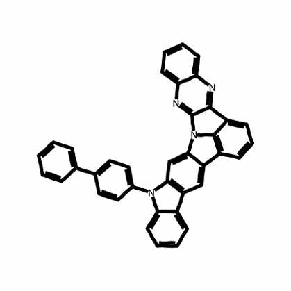 c1ccc(-c2ccc(-n3c4ccccc4c4cc5c6cccc7c8nc9ccccc9nc8n(c5cc43)c67)cc2)cc1